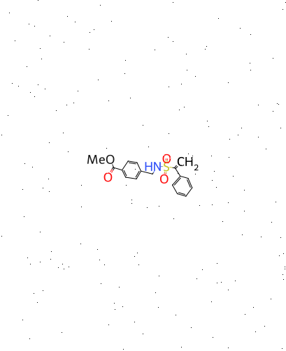 C=C(c1ccccc1)S(=O)(=O)NCc1ccc(C(=O)OC)cc1